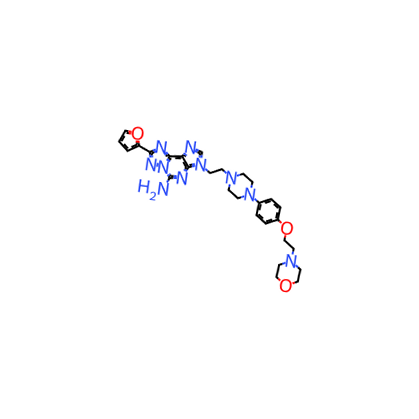 Nc1nc2c(ncn2CCN2CCN(c3ccc(OCCN4CCOCC4)cc3)CC2)c2nc(-c3ccco3)nn12